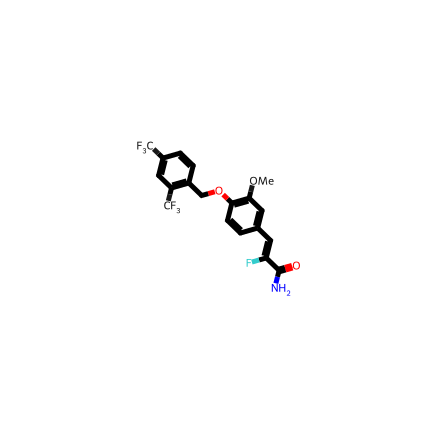 COc1cc(/C=C(\F)C(N)=O)ccc1OCc1ccc(C(F)(F)F)cc1C(F)(F)F